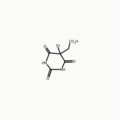 CCC1(CC(=O)O)C(=O)NC(=O)NC1=O